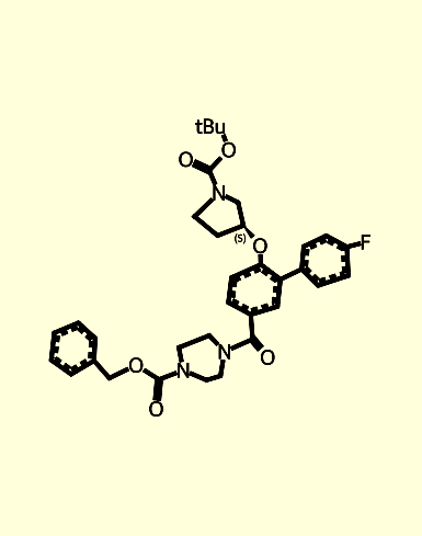 CC(C)(C)OC(=O)N1CC[C@H](Oc2ccc(C(=O)N3CCN(C(=O)OCc4ccccc4)CC3)cc2-c2ccc(F)cc2)C1